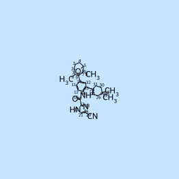 CC1C2CCC(O2)[C@H](C)C1c1ccc(NC(=O)c2nc(C#N)c[nH]2)c(C2=CCC(C)(C)CC2)c1